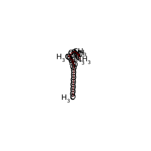 CCCC(C)C1CC(=O)N(CC(=O)NC[C@H](C)OC(=O)CCC(=O)c2cc3c(F)c(OCCCOc4c(OC)cc5c(c4F)CN(C(=O)CCC(=O)OCCOCCOCCOCCOCCOCCOCCOCCOCCOCCOCCOCCOC)C5)c(OC)cc3s2)C1=O